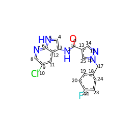 O=C(Nc1c[nH]c2ncc(Cl)cc12)c1cnn(Cc2ccc(F)cc2)c1